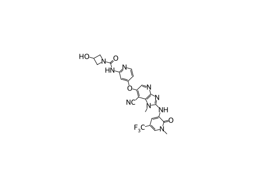 Cn1cc(C(F)(F)F)cc(Nc2nc3ncc(Oc4ccnc(NC(=O)N5CC(O)C5)c4)c(C#N)c3n2C)c1=O